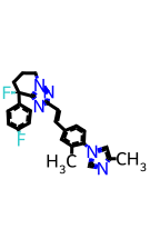 Cc1cn(-c2ccc(/C=C/c3nc4n(n3)CCC[C@@]4(F)c3ccc(F)cc3)cc2C)cn1